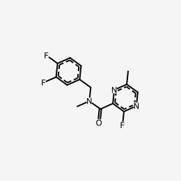 Cc1cnc(F)c(C(=O)N(C)Cc2ccc(F)c(F)c2)n1